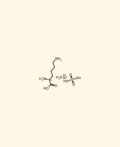 N.N.NCCCC[C@H](N)C(=O)O.O=S(=O)(O)O